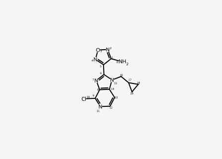 Nc1nonc1-c1nc2c(Cl)nccc2n1CC1CC1